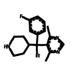 [CH2]CC(c1cccc(F)c1)(c1c(C)ncnc1C)C1CCNCC1